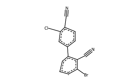 N#Cc1ccc(-c2cc[c]c(Br)c2C#N)cc1Cl